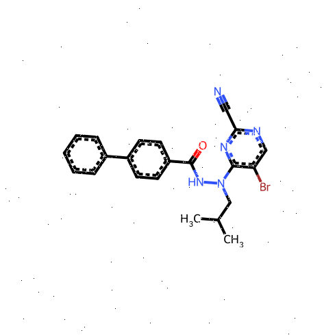 CC(C)CN(NC(=O)c1ccc(-c2ccccc2)cc1)c1nc(C#N)ncc1Br